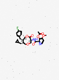 COc1ccnc(C(=O)N[C@H]2COC[C@H](CC3CC3)[C@@H](Cc3ccc(F)cc3)[C@H](C)OC2=O)c1OC(C)=O